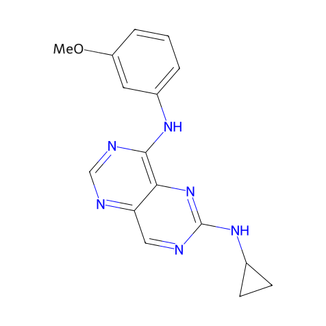 COc1cccc(Nc2ncnc3cnc(NC4CC4)nc23)c1